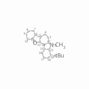 Cn1c2ccc3c4ccccc4oc3c2c2cccc(C(C)(C)C)c21